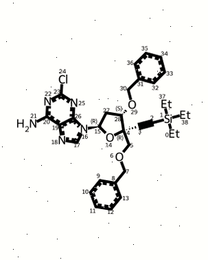 CC[Si](C#C[C@]1(COCc2ccccc2)O[C@@H](n2cnc3c(N)nc(Cl)nc32)C[C@@H]1OCc1ccccc1)(CC)CC